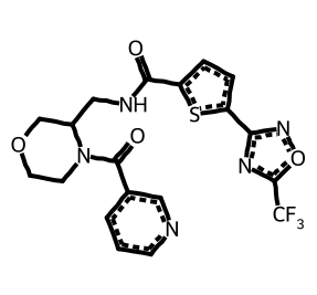 O=C(NCC1COCCN1C(=O)c1cccnc1)c1ccc(-c2noc(C(F)(F)F)n2)s1